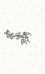 Cc1sc2c(c1C)C(c1ccc(Cl)cc1)=N[C@@H](CC(=O)NNC(=O)COc1cccc3c1C(=O)N(C1CCC(=O)NC1=O)C3=O)c1nnc(C)n1-2